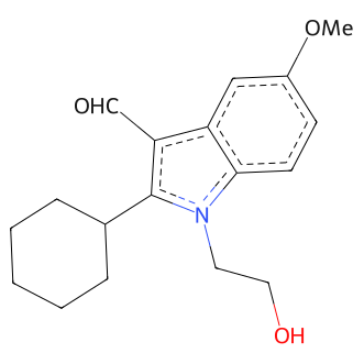 COc1ccc2c(c1)c(C=O)c(C1CCCCC1)n2CCO